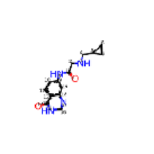 O=C(CNCC1CC1)Nc1ccc2c(=O)[nH]cnc2c1